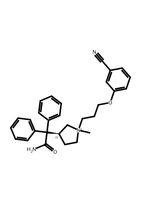 C[N+]1(CCCOc2cccc(C#N)c2)CC[C@@H](C(C(N)=O)(c2ccccc2)c2ccccc2)C1